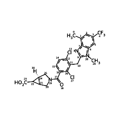 Cc1cc(C(F)(F)F)cc2c1nc(Cc1c(Cl)ccc(C(=O)N3CC4C(C(=O)O)[C@H]4C3)c1Cl)n2C